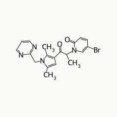 Cc1cc(C(=O)C(C)n2cc(Br)ccc2=O)c(C)n1Cc1ncccn1